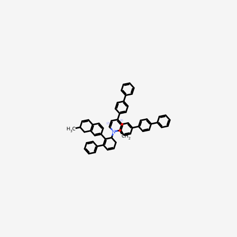 C=C/C=C(\C=C/N(c1ccc(-c2ccc(-c3ccccc3)cc2)cc1)C1CC=CC(c2ccccc2)=C1c1ccc2c(c1)CC(C)C=C2)c1ccc(-c2ccccc2)cc1